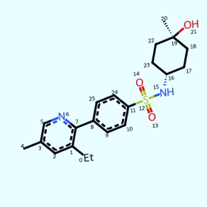 CCc1cc(C)cnc1-c1ccc(S(=O)(=O)N[C@H]2CC[C@](C)(O)CC2)cc1